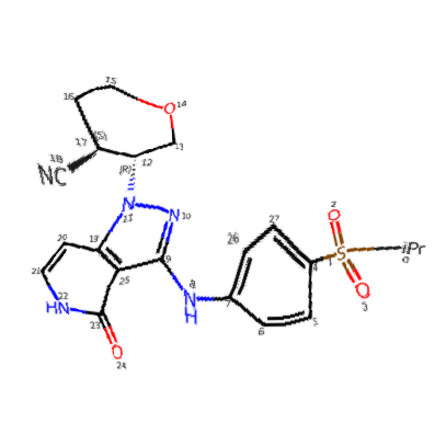 CC(C)S(=O)(=O)c1ccc(Nc2nn([C@H]3COCC[C@@H]3C#N)c3cc[nH]c(=O)c23)cc1